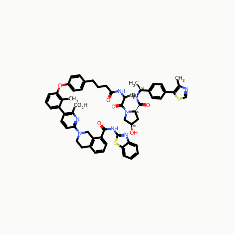 Cc1ncsc1-c1ccc([C@H](C)NC(=O)[C@@H]2C[C@@H](O)CN2C(=O)C(NC(=O)CCCc2ccc(Oc3cccc(-c4ccc(N5CCc6cccc(C(=O)Nc7nc8ccccc8s7)c6C5)nc4C(=O)O)c3C)cc2)C(C)(C)C)cc1